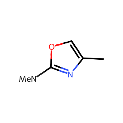 CNc1nc(C)co1